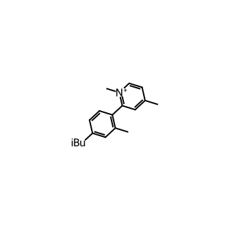 CCC(C)c1ccc(-c2cc(C)cc[n+]2C)c(C)c1